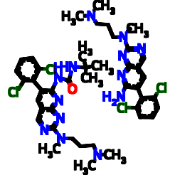 CN(C)CCCN(C)c1ncc2cc(-c3c(Cl)cccc3Cl)c(N)nc2n1.CN(C)CCCN(C)c1ncc2cc(-c3c(Cl)cccc3Cl)c(NC(=O)NC(C)(C)C)nc2n1